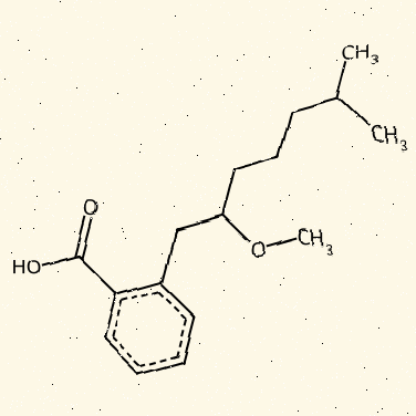 COC(CCCC(C)C)Cc1ccccc1C(=O)O